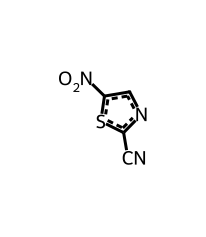 N#Cc1ncc([N+](=O)[O-])s1